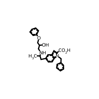 CC(Cc1ccc2c(c1)cc(C(=O)O)n2Cc1ccccc1)NCC(O)COc1ccccc1